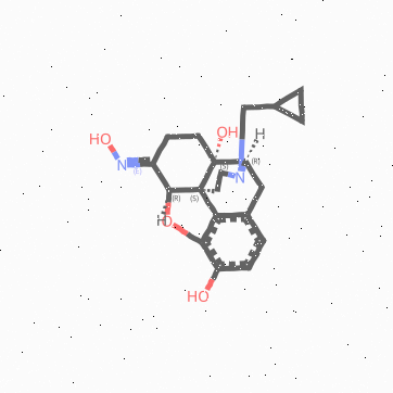 O/N=C1\CC[C@@]2(O)[C@H]3Cc4ccc(O)c5c4[C@@]2(CCN3CC2CC2)[C@H]1O5